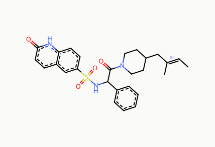 C/C=C(\C)CC1CCN(C(=O)C(NS(=O)(=O)c2ccc3[nH]c(=O)ccc3c2)c2ccccc2)CC1